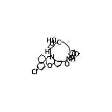 COC[C@@H]1C[C@@H](C)CC[C@H](O)[C@@H]2CC[C@H]2CN2C[C@@]3(CCCc4cc(Cl)ccc43)COc3ccc(cc32)C(=O)NS1(=O)=O